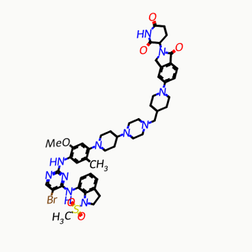 COc1cc(N2CCC(N3CCN(CC4CCN(c5ccc6c(c5)CN(C5CCC(=O)NC5=O)C6=O)CC4)CC3)CC2)c(C)cc1Nc1ncc(Br)c(Nc2cccc3c2N(S(C)(=O)=O)CC3)n1